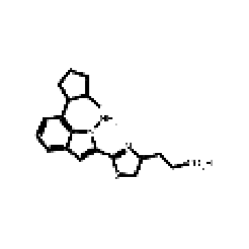 CC1CCCC1c1cccc2cc(C3=NC(CCC(=O)O)CS3)n(N)c12